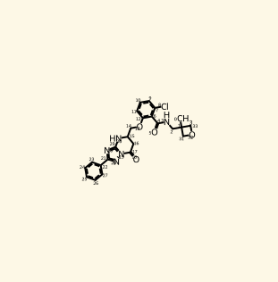 CC1(CNC(=O)c2c(Cl)cccc2OCC2CC(=O)n3nc(-c4ccccc4)nc3N2)COC1